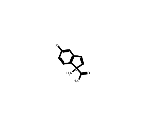 CC(=O)[C@@]1(N)C=Cc2cc(Br)ccc21